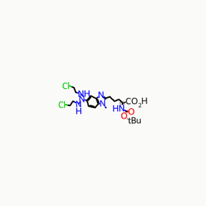 Cn1c(CCC[C@H](NC(=O)OC(C)(C)C)C(=O)O)nc2cc(N(NCCCl)NCCCl)ccc21